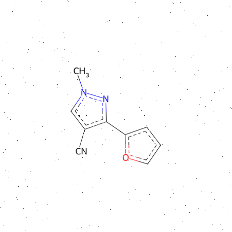 Cn1cc(C#N)c(-c2ccco2)n1